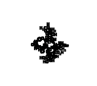 CO[C@H]1[C@H](C)O[C@@H](O[C@@H]2c3ccc(c(Cl)c3)Oc3cc4cc(c3O[C@@H]3O[C@H](CO)[C@@H](O)[C@H](O)[C@H]3O[C@H]3C[C@H](N)[C@@H](O)[C@H](C)O3)Oc3ccc(cc3)[C@H]3OC(=O)N[C@H]3C(=O)N[C@@H](Cc3ccccc3)C(=O)N[C@H]4C(=O)N[C@H]3C(=O)N[C@@H]2C(=O)N[C@H](C(=O)O)c2cc(O)cc(O[C@H]4O[C@H](CO)[C@@H](O)[C@H](O)[C@@H]4O)c2-c2cc3ccc2O)C[C@@H]1N